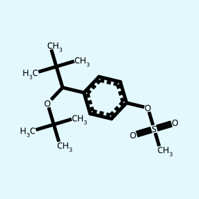 CC(C)(C)OC(c1ccc(OS(C)(=O)=O)cc1)C(C)(C)C